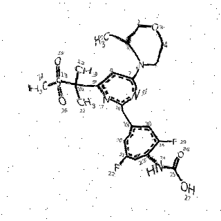 CC1COCCN1c1cc(C(C)(C)S(C)(=O)=O)nc(-c2cc(F)c(NC(=O)O)c(F)c2)n1